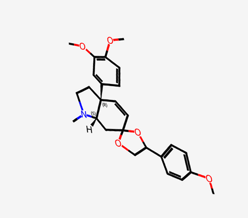 COc1ccc(C2COC3(C=C[C@@]4(c5ccc(OC)c(OC)c5)CCN(C)[C@H]4C3)O2)cc1